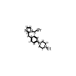 CCN1CCN(c2ccc(Cc3nccn3CC(C)C)cc2)CC1